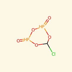 O=[PH]1OC(Cl)O[PH](=O)O1